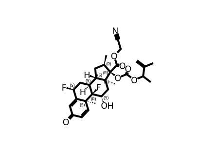 C=C(C)C(C)OC(=O)O[C@]1(C(=O)OCC#N)[C@H](C)C[C@H]2[C@@H]3C[C@H](F)C4=CC(=O)C=C[C@]4(C)[C@@]3(F)[C@@H](O)C[C@@]21C